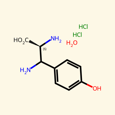 Cl.Cl.NC(c1ccc(O)cc1)[C@H](N)C(=O)O.O